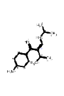 CC(C)N/C=C(\C(=N)C1CCC(N)CC1)C(C)C